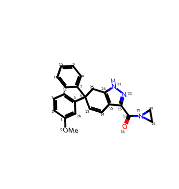 COc1cccc(C2(c3ccccc3)C=Cc3c(C(=O)N4CC4)n[nH]c3C2)c1